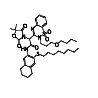 CCCCCCCCSc1cc2c(cc1NC(=O)C(C1=Nc3ccccc3S(=O)(=O)N1CCCOCCCC)N1C(=O)OC(C)(C)C1=O)CCCC2